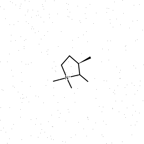 CC1[C@H](C)CC[N+]1(C)C